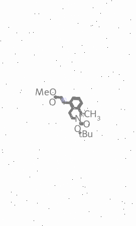 COC(=O)/C=C/c1cccc2c1CCN(C(=O)OC(C)(C)C)[C@H]2C